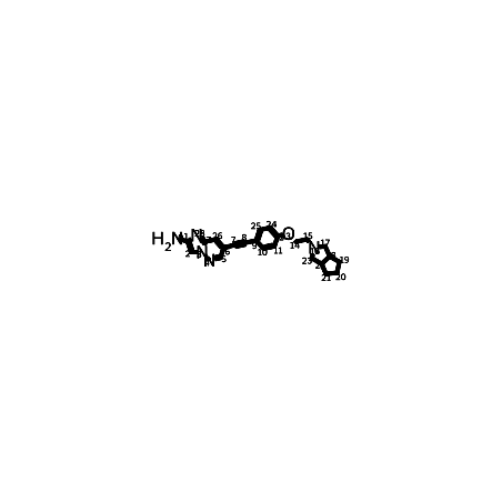 Nc1cn2ncc(C#Cc3ccc(OCCN4CC5CCCC5C4)cc3)cc2n1